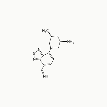 C[C@H]1C[C@@H](N)CN(c2ccc(C=N)c3nsnc23)C1